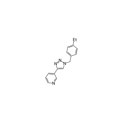 CCc1ccc(Cn2cc(-c3cccnc3)nn2)cc1